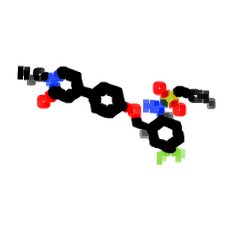 CCS(=O)(=O)N[C@H]1CCC(F)(F)C[C@H]1COc1ccc(-c2ccn(C)c(=O)c2)cc1